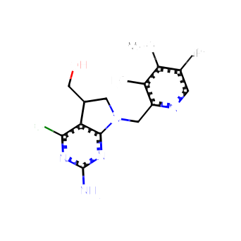 COc1c(C(C)C)cnc(CN2CC(CO)c3c(Cl)nc(N)nc32)c1C